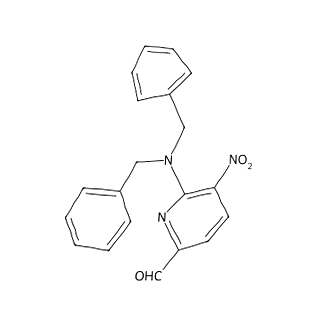 O=Cc1ccc([N+](=O)[O-])c(N(Cc2ccccc2)Cc2ccccc2)n1